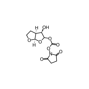 O=C(OC1O[C@H]2OCC[C@H]2[C@H]1O)ON1C(=O)CCC1=O